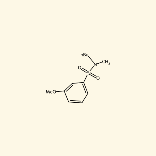 CCCCN(C)S(=O)(=O)c1cccc(OC)c1